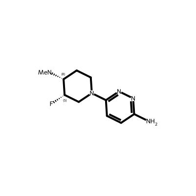 CN[C@@H]1CCN(c2ccc(N)nn2)C[C@@H]1F